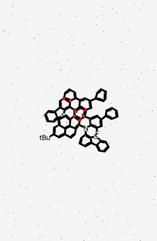 CC(C)(C)c1cc2ccc3c(N(c4c(F)cc(-c5ccccc5)cc4-c4ccccc4)c4cccc5c4sc4ccccc45)cc(N(c4c(F)cc(-c5ccccc5)cc4-c4ccccc4)c4cccc5c4sc4ccccc45)c4ccc(c1)c2c34